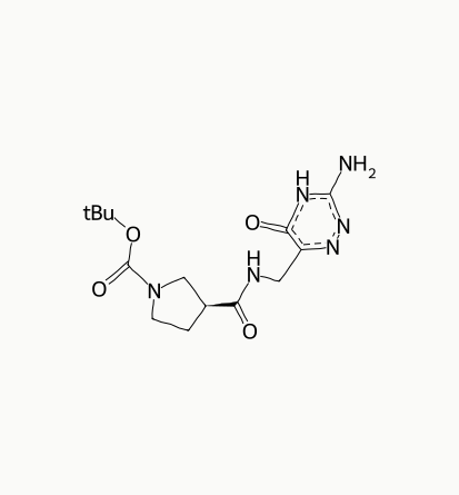 CC(C)(C)OC(=O)N1CC[C@H](C(=O)NCc2nnc(N)[nH]c2=O)C1